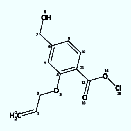 C=CCOc1cc(CO)ccc1C(=O)OCl